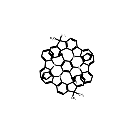 CC1(C)c2ccccc2-c2c1ccc1c3ccccc3n(-c3c(C#N)c(-n4c5ccccc5c5ccccc54)c(-n4c5ccccc5c5ccc6c(c54)-c4ccccc4C6(C)C)c(C#N)c3-n3c4ccccc4c4ccccc43)c21